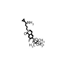 CC1(C)OB(c2cc3ccn(CCC[C@@H](N)C4CC4)c(=O)c3cc2F)OC1(C)C